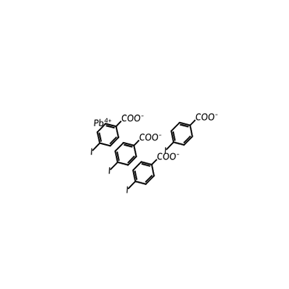 O=C([O-])c1ccc(I)cc1.O=C([O-])c1ccc(I)cc1.O=C([O-])c1ccc(I)cc1.O=C([O-])c1ccc(I)cc1.[Pb+4]